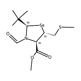 COC(=O)[C@@H]1[C@@H](CSC)[Se][C@H](C(C)(C)C)N1C=O